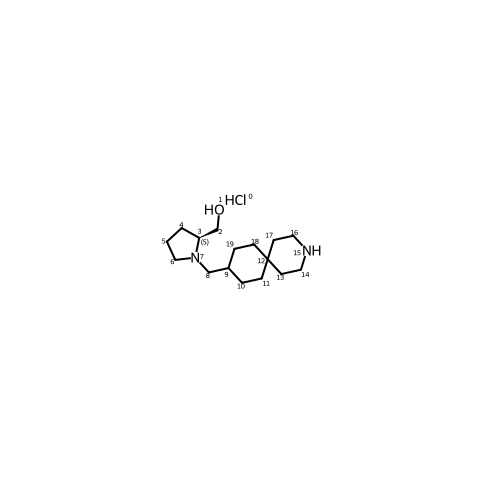 Cl.OC[C@@H]1CCCN1CC1CCC2(CCNCC2)CC1